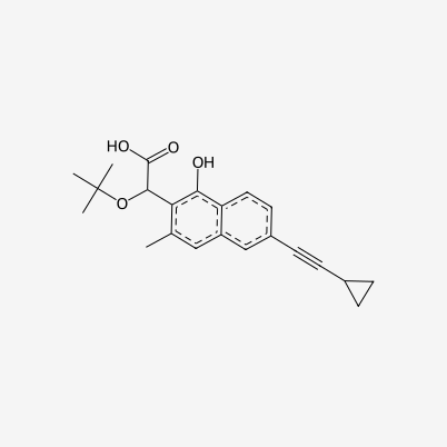 Cc1cc2cc(C#CC3CC3)ccc2c(O)c1C(OC(C)(C)C)C(=O)O